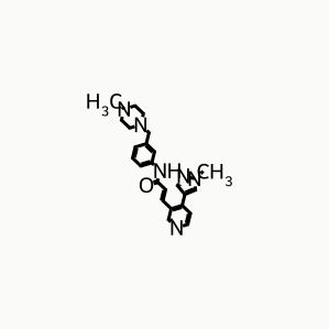 CN1CCN(Cc2cccc(NC(=O)C=Cc3cnccc3-c3cnn(C)c3)c2)CC1